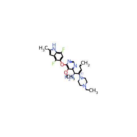 C=C/C=C(\C(N)c1ncnc(Oc2cc(F)c3[nH]c(C)cc3c2F)c1OC)N1CCN(CC)CC1